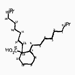 CC(C)CCCCCCC1CCCCC1(CCCCCCC(C)C)C(=O)O